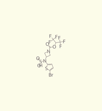 O=C(OC(C(F)(F)F)C(F)(F)F)N1CC(N(c2ccc(Br)s2)[SH](=O)=O)C1